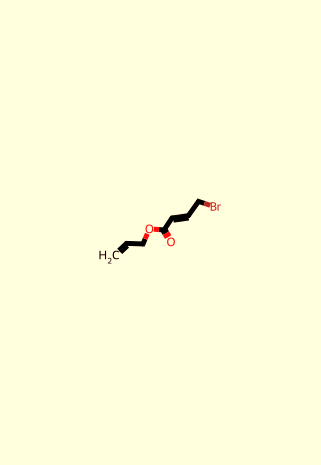 C=CCOC(=O)/C=C/CBr